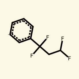 FC(F)CC(F)(F)c1c[c]ccc1